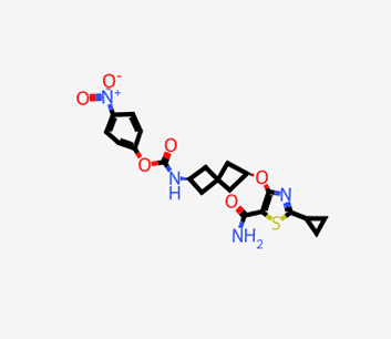 NC(=O)c1sc(C2CC2)nc1O[C@H]1CC2(C[C@H](NC(=O)Oc3ccc([N+](=O)[O-])cc3)C2)C1